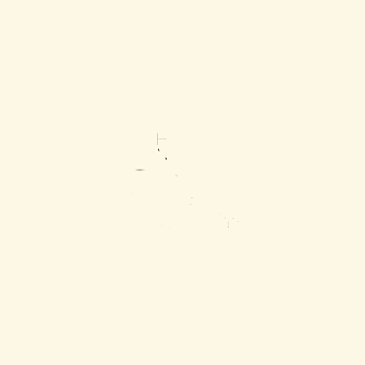 C=C.O=C1CC=C(c2c[nH]c3ccccc23)CC1